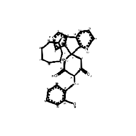 O=C1CC(c2ccsc2)(c2ncccc2OC2CCCCCC2)NC(=O)C1Sc1ccccc1Cl